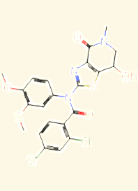 COc1ccc(N(C(=O)c2ccc(Cl)cc2Cl)c2nc3c(s2)C(O)CN(C)C3=O)cc1OC